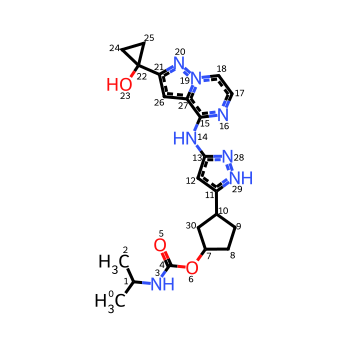 CC(C)NC(=O)OC1CCC(c2cc(Nc3nccn4nc(C5(O)CC5)cc34)n[nH]2)C1